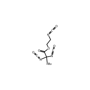 CCCCC(N=C=O)(N=C=O)C(=O)OCCN=C=O